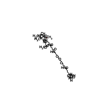 CCN(C)CC(C)(C)COCC(C)(C)Cn1nnc2c1CCN(C(=O)CCCC(=O)NCCCOCCOCCOCCCNC(=O)CCCC[C@@H]1SC[C@@H]3NC(=O)N[C@@H]31)C[C@H](OC)C2